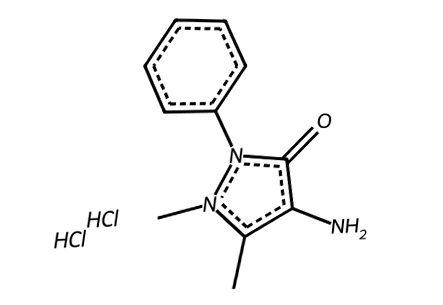 Cc1c(N)c(=O)n(-c2ccccc2)n1C.Cl.Cl